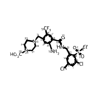 CCS(=O)(=O)c1c(Cl)cc(Cl)cc1CNC(=O)c1cc(C(F)(F)F)c(CN2CCN(C(=O)O)CC2)cc1N